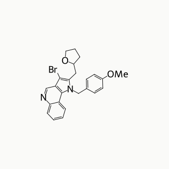 COc1ccc(Cn2c(CC3CCCO3)c(Br)c3cnc4ccccc4c32)cc1